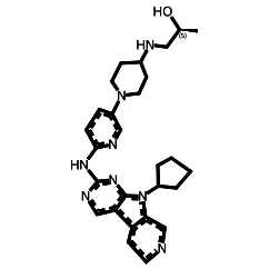 C[C@H](O)CNC1CCN(c2ccc(Nc3ncc4c5ccncc5n(C5CCCC5)c4n3)nc2)CC1